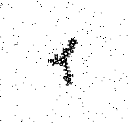 CC(=N)OC(=N)c1cc(-c2ccc(NC(=O)N3Cc4ccncc4C3)cc2)nn(CCCCCCNC(=O)OC(C)(C)C)c1=O